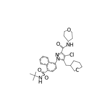 CC(C)(C)NS(=O)(=O)c1ccc(-n2nc(C(=O)NC3CCOCC3)c(Cl)c2CC2CCCCC2)c2ccccc12